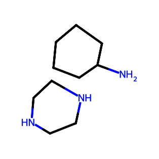 C1CNCCN1.NC1CCCCC1